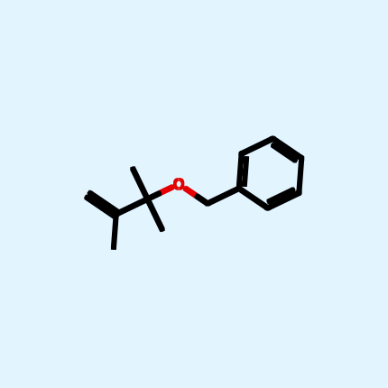 C=C(C)C(C)(C)OCc1ccccc1